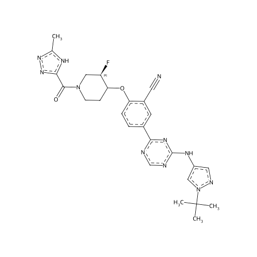 Cc1nnc(C(=O)N2CCC(Oc3ccc(-c4ncnc(Nc5cnn(C(C)(C)C)c5)n4)cc3C#N)[C@H](F)C2)[nH]1